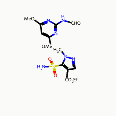 CCOC(=O)c1cnn(C)c1S(N)(=O)=O.COc1cc(OC)nc(NC=O)n1